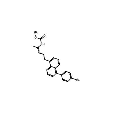 CC(=NCCc1cccc2c(-c3ccc(C(C)(C)C)cc3)cccc12)NC(=O)OC(C)(C)C